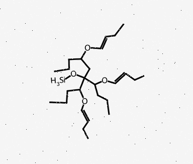 CCC=COC(CCC)CC(O[SiH3])(C(CCC)OC=CCC)C(CCC)OC=CCC